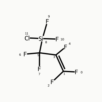 FC(F)=C(F)C(F)(F)[Si](F)(F)Cl